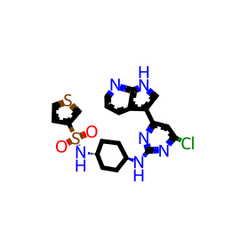 O=S(=O)(N[C@H]1CC[C@H](Nc2nc(Cl)cc(-c3c[nH]c4ncccc34)n2)CC1)c1ccsc1